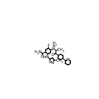 Cc1cc(Nc2cc(N(N)C(C)C(=O)c3ccc(-c4ccccn4)cc3)c(F)cc2C(N)=O)sn1